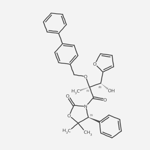 CC1(C)OC(=O)N(C(=O)[C@@](C)(OCc2ccc(-c3ccccc3)cc2)[C@@H](O)c2ccco2)[C@H]1c1ccccc1